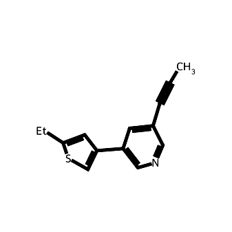 CC#Cc1cncc(-c2csc(CC)c2)c1